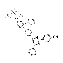 C[C@@H]1C[C@@H]2C[C@H](C)CC(c3ccc(-c4ccc(-c5nc(-c6ccccc6)nc(-c6ccc(C#N)cc6)n5)cc4)c(-c4ccccc4)c3)(C1)C2